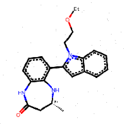 CCOCCn1c(-c2cccc3c2N[C@H](C)CC(=O)N3)cc2ccccc21